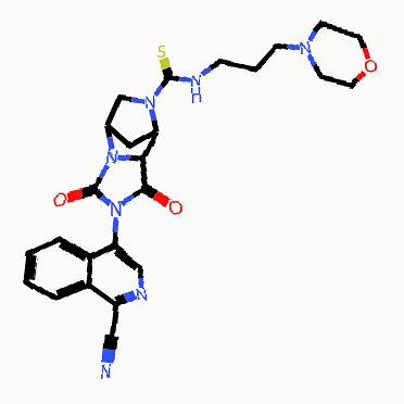 N#Cc1ncc(N2C(=O)C3C4CC(CN4C(=S)NCCCN4CCOCC4)N3C2=O)c2ccccc12